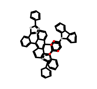 C1=CCC(c2nnc(-c3ccccc3-c3c4ccccc4c(-c4ccccc4-c4nnc(-c5ccccc5)o4)c4cccc(N(c5ccccc5)c5ccc(-n6c7ccccc7c7ccccc76)cc5)c34)o2)C=C1